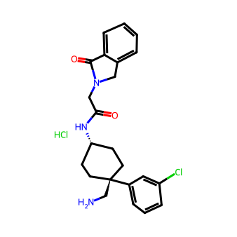 Cl.NC[C@]1(c2cccc(Cl)c2)CC[C@@H](NC(=O)CN2Cc3ccccc3C2=O)CC1